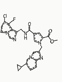 COC(=O)c1cc(C(=O)NCc2ncn3ccc(Cl)c(F)c23)cn1Cc1cn2cc(C3CC3)ccc2n1